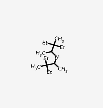 CCC(C)(CC)C(C)[N]C(C)C(C)(CC)CC